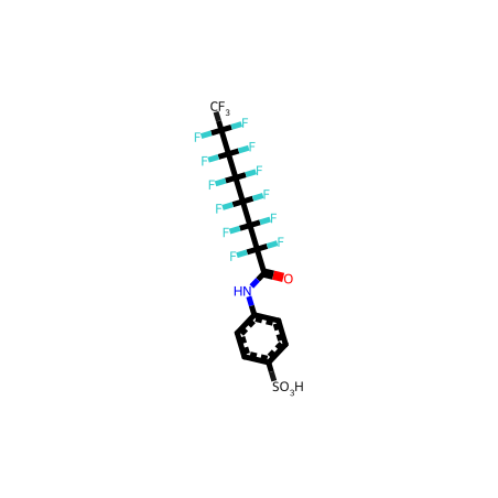 O=C(Nc1ccc(S(=O)(=O)O)cc1)C(F)(F)C(F)(F)C(F)(F)C(F)(F)C(F)(F)C(F)(F)C(F)(F)F